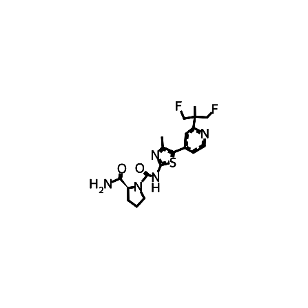 Cc1nc(NC(=O)N2CCC[C@H]2C(N)=O)sc1-c1ccnc(C(C)(CF)CF)c1